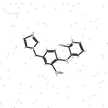 COc1cc(Cn2ccnc2)ccc1Oc1cccnc1F